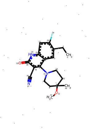 CCc1cc2c(N3CCC(C)(OC)CC3)c(C#N)c(=O)[nH]c2cc1F